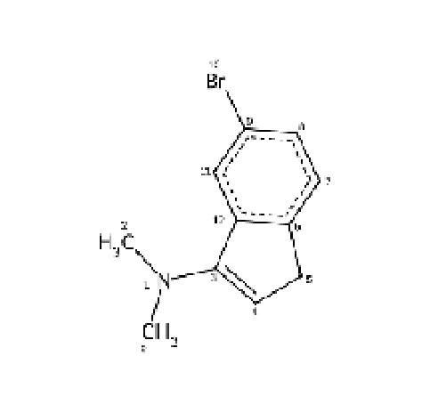 CN(C)C1=CCc2ccc(Br)cc21